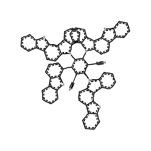 N#Cc1c(-c2cccc3c2sc2ccccc23)c(-n2c3ccccc3c3c4sc5ccccc5c4ccc32)c(-n2c3ccccc3c3c4sc5ccccc5c4ccc32)c(C#N)c1-n1c2ccccc2c2c3sc4ccccc4c3ccc21